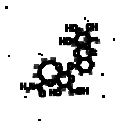 CC[C@@H]1CCC[C@@H](O[C@@H]2OC(CO)[C@H](O)C3O[C@@H](C(N)=O)CCCCOC32)C1O[C@@H]1OC(C)[C@@H](O)C(O)[C@@H]1O